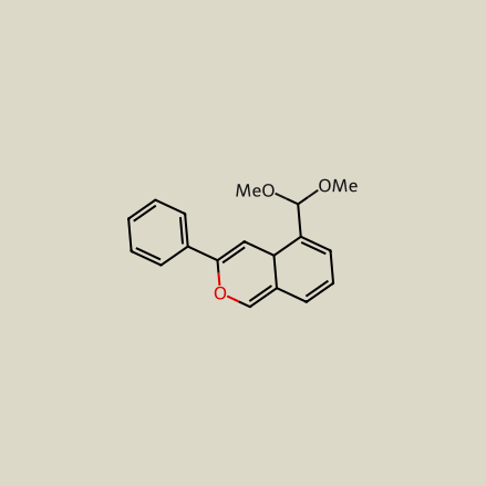 COC(OC)C1=CC=CC2=COC(c3ccccc3)=CC21